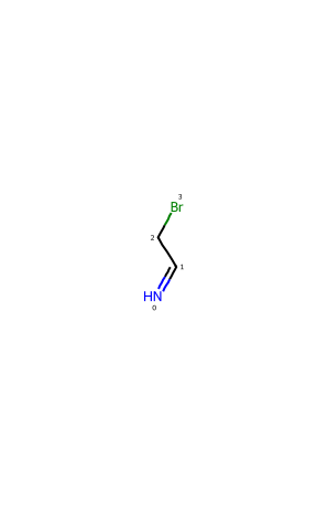 N=CCBr